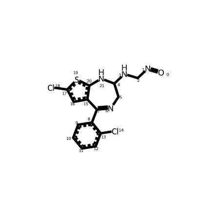 O=NCNC1CN=C(c2ccccc2Cl)c2cc(Cl)sc2N1